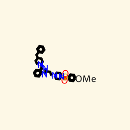 COc1ccc(S(=O)(=O)N2CCN(CCc3nc(N4CCC(Cc5ccccc5)CC4)c4ccccc4n3)CC2)cc1